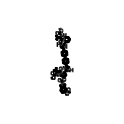 COC(=O)NC(C(=O)N1CCCC[C@H]1c1nc(-c2ccc(-c3ccc(-c4c[nH]c([C@@H]5C[C@H](OC(=O)N6Cc7ccc8c(c7C6)OCO8)CN5C(=O)[C@@H](NC(=O)OC)C(C)C)n4)cc3)cc2)c[nH]1)C(C)C